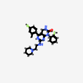 Cc1cc(F)ccc1-c1nc(NCCN2CCCCC2)nc2c1CNC(=O)N2c1ccccc1F